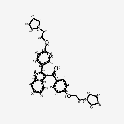 O=C(c1ccc(OCCN2CCCC2)cc1)c1c(-c2ccc(OCCN3CCCC3)nc2)sc2ccccc12